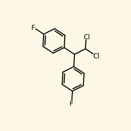 Fc1ccc(C(c2ccc(F)cc2)C(Cl)Cl)cc1